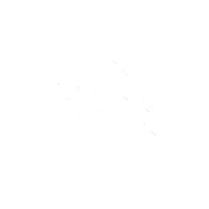 Cc1cc(N2CCN(C(C)C)C2=O)nc2c(C(=O)NC(C)(C)C3CC3)cnn12